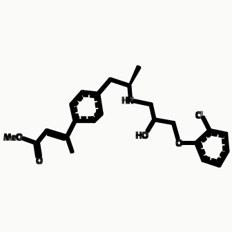 COC(=O)/C=C(\C)c1ccc(C[C@@H](C)NCC(O)COc2ccccc2Cl)cc1